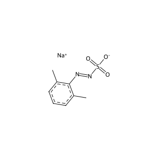 Cc1cccc(C)c1N=NS(=O)(=O)[O-].[Na+]